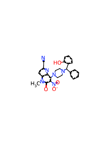 Cn1c(=O)c([N+](=O)[O-])c(N2CCN(C(c3ccccc3)c3ccccc3O)CC2)c2nc(C#N)ccc21